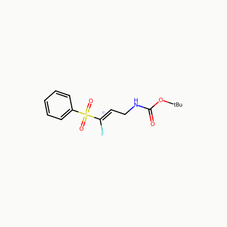 CC(C)(C)OC(=O)NC/C=C(\F)S(=O)(=O)c1ccccc1